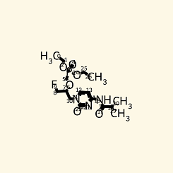 CCOP(=O)(COC(CF)Cn1ccc(NC(=O)C(C)C)nc1=O)OCC